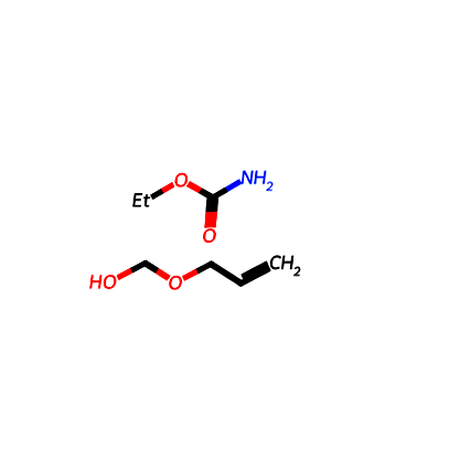 C=CCOCO.CCOC(N)=O